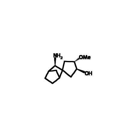 CO[C@H]1CC2(C[C@@H]1O)C1CCC(C1)[C@H]2N